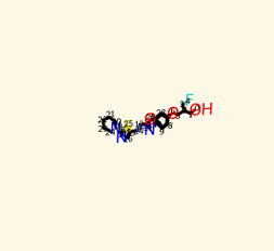 OCC(CF)COc1ccc2nc(/C=C/c3cnc(N4CCCCC4)s3)oc2c1